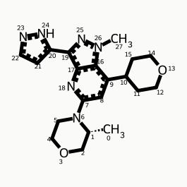 C[C@@H]1COCCN1c1cc(C2CCOCC2)c2c(n1)c(-c1ccn[nH]1)nn2C